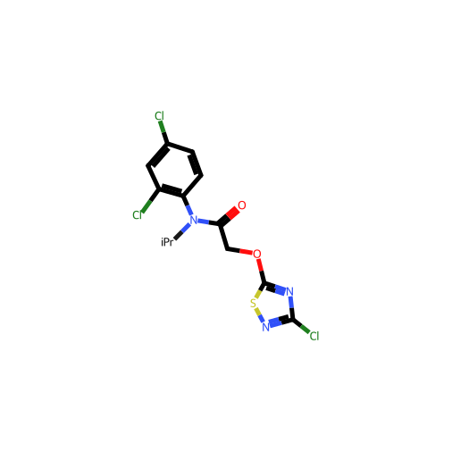 CC(C)N(C(=O)COc1nc(Cl)ns1)c1ccc(Cl)cc1Cl